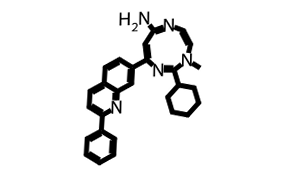 Cn1ccnc(N)cc(-c2ccc3ccc(-c4ccccc4)nc3c2)nc1C1CCCCC1